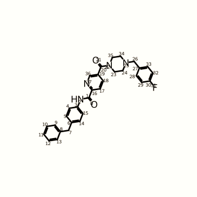 O=C(Nc1ccc(Cc2ccccc2)cc1)c1ccc(C(=O)N2CCN(Cc3ccc(F)cc3)CC2)cn1